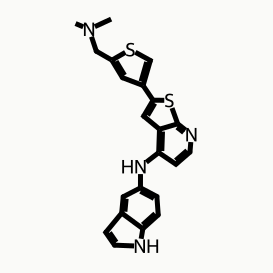 CN(C)Cc1cc(-c2cc3c(Nc4ccc5[nH]ccc5c4)ccnc3s2)cs1